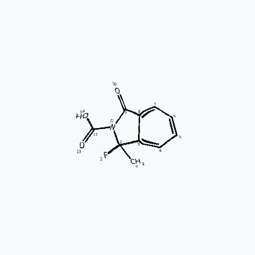 CC1(F)c2ccccc2C(=O)N1C(=O)O